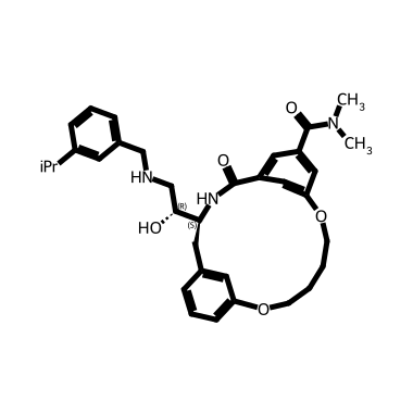 CC(C)c1cccc(CNC[C@@H](O)[C@@H]2Cc3cccc(c3)OCCCCOc3cc(cc(C(=O)N(C)C)c3)C(=O)N2)c1